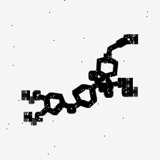 C#CCN1CCC(C(=O)NO)(S(=O)(=O)c2ccc(Oc3ccc(C)c(C)c3)cc2)CC1